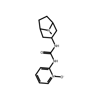 CN1C2CCC1CC(NC(=O)Nc1cccc[n+]1[O-])C2